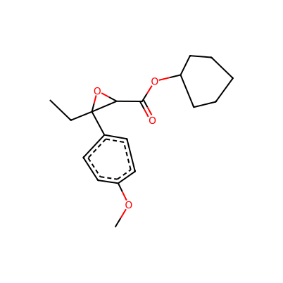 CCC1(c2ccc(OC)cc2)OC1C(=O)OC1CCCCC1